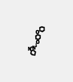 c1ccc(Oc2ccc(OCCn3cnc4ccccc43)cc2)cc1